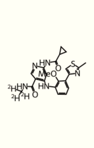 [2H]C([2H])([2H])NC(=O)c1cnc(NC(=O)C2CC2)cc1Nc1cccc(-c2csc(C)n2)c1OC